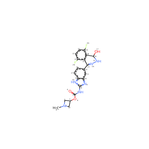 CN1CC(OC(=O)Nc2nc3cc(C4=NNC(O)c5c(F)ccc(F)c54)ccc3[nH]2)C1